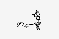 CCOC(=O)CCCn1nnnc1-c1ccc2c(c1)C=C(C)C(C)(C)O2